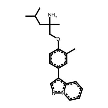 Cc1cc(-c2cnn3ccccc23)ccc1OCC(C)(N)CC(C)C